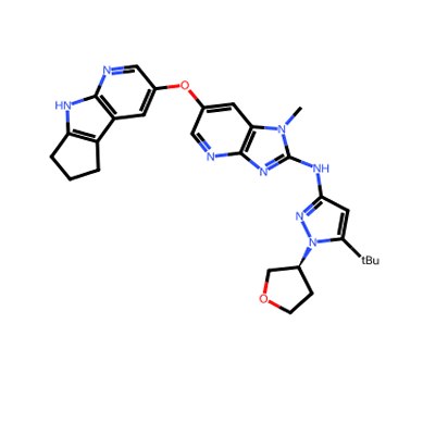 Cn1c(Nc2cc(C(C)(C)C)n([C@H]3CCOC3)n2)nc2ncc(Oc3cnc4[nH]c5c(c4c3)CCC5)cc21